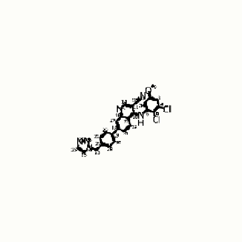 COc1cc(Cl)c(Cl)c(Nc2c(C#N)cnc3cc(-c4ccc(Cn5ccnn5)cc4)ccc23)c1